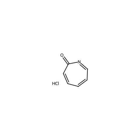 Cl.O=c1cccccn1